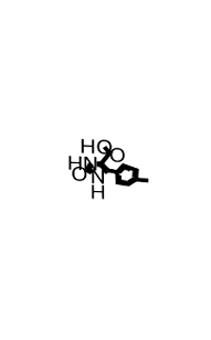 Cc1ccc(-c2[nH]c(=O)[nH]c2C(=O)O)cc1